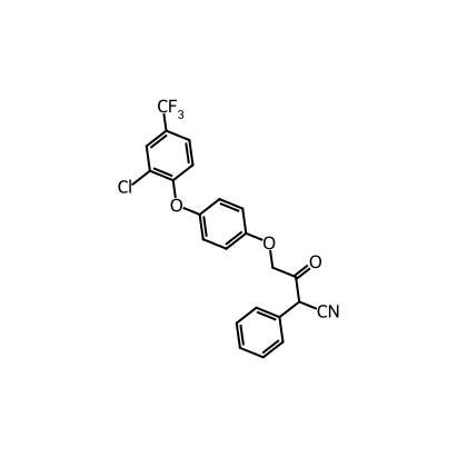 N#CC(C(=O)COc1ccc(Oc2ccc(C(F)(F)F)cc2Cl)cc1)c1ccccc1